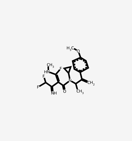 C=C(c1ccc(OC)cc1)C(C)N(C(=O)/C(C(=N)C(F)F)=C(\F)NC)C1CC1